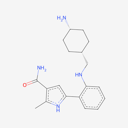 Cc1[nH]c(-c2ccccc2NC[C@H]2CC[C@@H](N)CC2)cc1C(N)=O